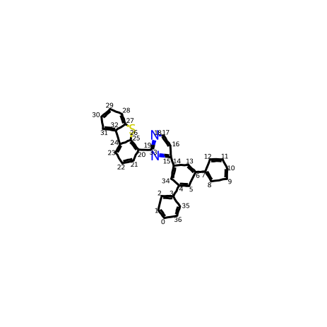 c1ccc(-c2cc(-c3ccccc3)cc(-c3ccnc(-c4cccc5c4sc4ccccc45)n3)c2)cc1